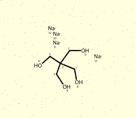 OCC(CO)(CO)CO.[Na].[Na].[Na].[Na]